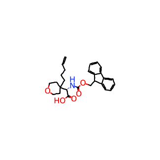 C=CCCCC1([C@H](NC(=O)OCC2c3ccccc3-c3ccccc32)C(=O)O)CCOCC1